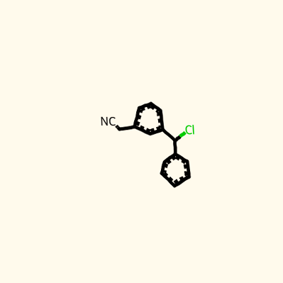 N#CCc1cccc(C(Cl)c2ccccc2)c1